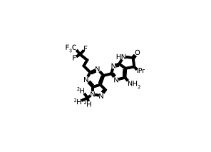 [2H]C([2H])([2H])n1ncc2c(-c3nc(N)c4c(n3)NC(=O)C4C(C)C)nc(CCC(F)(F)C(F)(F)F)nc21